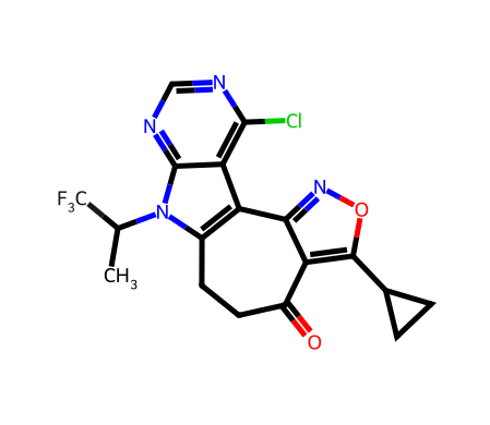 CC(n1c2c(c3c(Cl)ncnc31)-c1noc(C3CC3)c1C(=O)CC2)C(F)(F)F